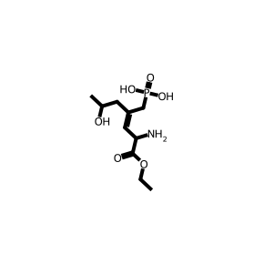 CCOC(=O)C(N)C=C(CC(C)O)CP(=O)(O)O